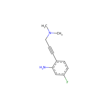 CN(C)CC#Cc1ccc(F)cc1N